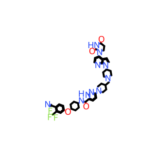 N#Cc1ccc(O[C@H]2CC[C@H](NC(=O)c3ccc(N4CCC(CN5CCC(n6ccc7c(N8CCC(=O)NC8=O)ccnc76)CC5)CC4)nn3)CC2)cc1C(F)(F)F